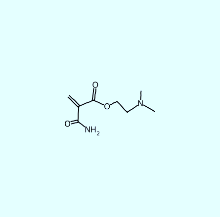 C=C(C(N)=O)C(=O)OCCN(C)C